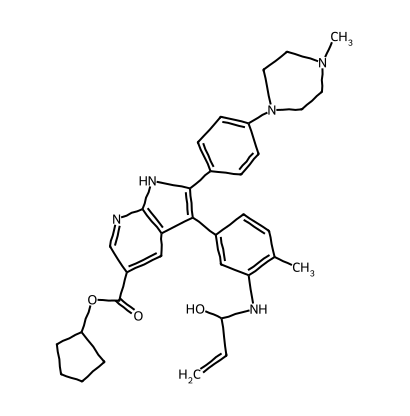 C=CC(O)Nc1cc(-c2c(-c3ccc(N4CCN(C)CC4)cc3)[nH]c3ncc(C(=O)OC4CCCC4)cc23)ccc1C